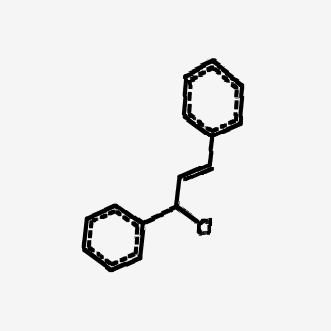 ClC(C=Cc1ccccc1)c1ccccc1